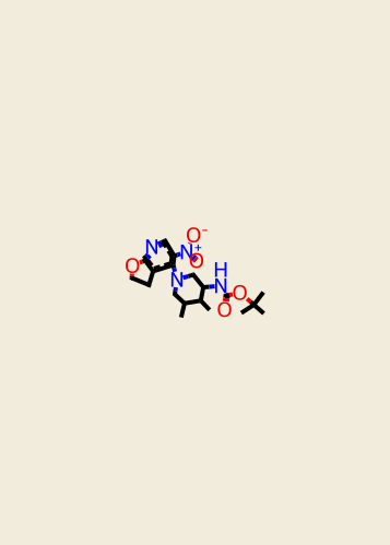 CC1CN(c2c([N+](=O)[O-])cnc3c2CCO3)CC(NC(=O)OC(C)(C)C)C1C